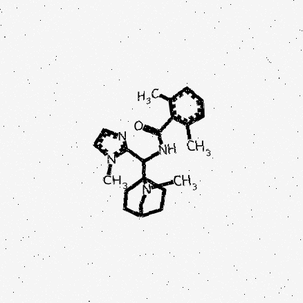 Cc1cccc(C)c1C(=O)NC(c1nccn1C)C12CCC(CC1)CN2C